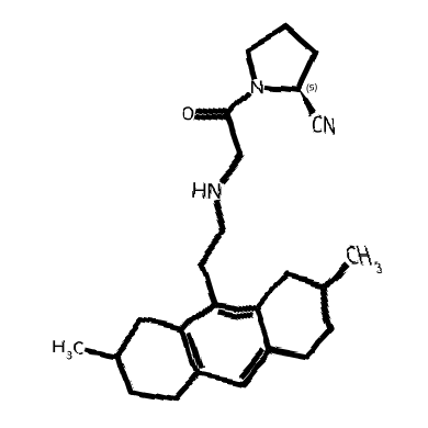 CC1CCc2cc3c(c(CCNCC(=O)N4CCC[C@H]4C#N)c2C1)CC(C)CC3